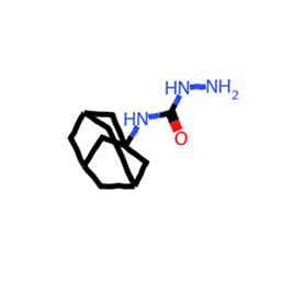 NNC(=O)NC12CC3CC(CC(C3)C1)C2